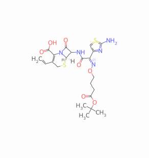 C=CC1=C(C(=O)O)N2C(=O)C(NC(=O)/C(=N\OCCCC(=O)OC(C)(C)C)c3csc(N)n3)[C@H]2SC1